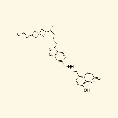 CN(CCCn1nnc2cc(CNCCc3ccc(O)c4[nH]c(=O)ccc34)ccc21)C1CC2(CC(OC=O)C2)C1